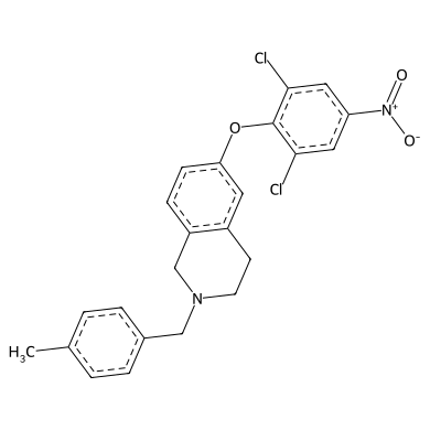 Cc1ccc(CN2CCc3cc(Oc4c(Cl)cc([N+](=O)[O-])cc4Cl)ccc3C2)cc1